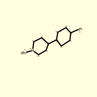 CC(C)C1CCC(C2CCN(C(C)(C)C)CC2)CC1